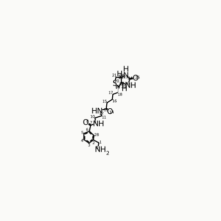 NCc1cccc(C(=O)NCCNC(=O)CCCC[C@@H]2SC[C@@H]3NC(=O)N[C@@H]32)c1